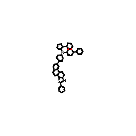 c1ccc(-c2ccc(N(c3ccc(-c4ccc5ccc6c(ccc7nc(-c8ccccc8)sc76)c5c4)cc3)c3ccccc3-c3ccccc3)cc2)cc1